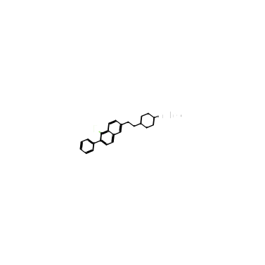 CCCCCCC1CCC(CCc2ccc3c(F)c(-c4ccccc4)ccc3c2)CC1